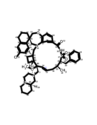 CO[C@@]1(CN2CCN3CCCC[C@@H]3C2)/C=C/C[C@H](C)[C@H](Cc2ccccc2)S(=O)(=O)NC(=O)c2ccc3c(c2)N(C[C@@H]2CC[C@H]21)C[C@@]1(CCCc2cc(Cl)ccc21)CO3